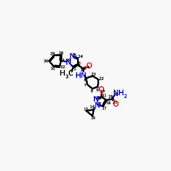 Cc1c(C(=O)N[C@H]2CC[C@H](Oc3nn(C4CC4)cc3C(N)=O)CC2)cnn1-c1ccccc1